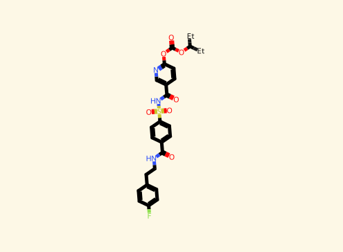 CCC(CC)OC(=O)Oc1ccc(C(=O)NS(=O)(=O)c2ccc(C(=O)NCCc3ccc(F)cc3)cc2)cn1